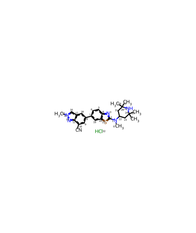 CN(c1nc2ccc(-c3cc(C#N)c4nn(C)cc4c3)cc2s1)C1CC(C)(C)NC(C)(C)C1.Cl